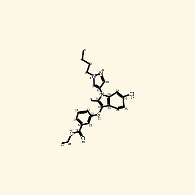 CCCCn1cc(-n2c(C)c(Sc3cccc(C(=O)OCC)c3)c3ccc(Cl)cc32)cn1